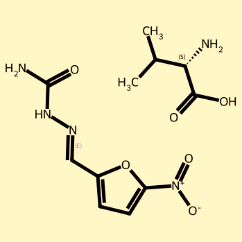 CC(C)[C@H](N)C(=O)O.NC(=O)N/N=C/c1ccc([N+](=O)[O-])o1